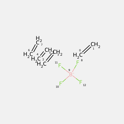 C=C.C=C.C=C.C=C.F[B-](F)(F)F